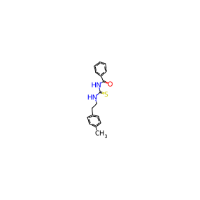 Cc1ccc(CCNC(=S)NC(=O)c2ccccc2)cc1